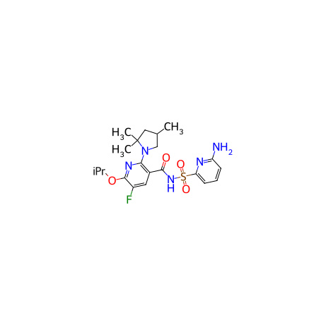 CC1CN(c2nc(OC(C)C)c(F)cc2C(=O)NS(=O)(=O)c2cccc(N)n2)C(C)(C)C1